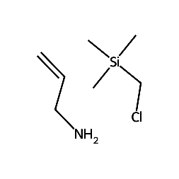 C=CCN.C[Si](C)(C)CCl